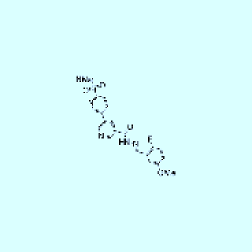 CNS(=O)(=O)c1ccc(-c2cncc(C(=O)N/N=C/c3cc(OC)ccc3F)n2)cn1